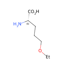 CCOCCC[C@H](N)C(=O)O